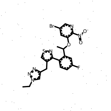 CCn1cc(Cc2csnc2-c2ccc(F)cc2C(C)Oc2cc(Br)cnc2[N+](=O)[O-])nn1